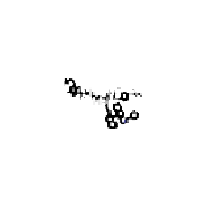 C=CCOc1ccc(C[C@H](NC(=O)[C@@H](CCCNC(=N)NS(=O)(=O)c2c(C)c(C)c3c(c2C)CCC(C)(C)O3)NC(=O)COc2ccc3ccccc3c2-c2c(OC/C=C/c3ccccc3)ccc3ccccc23)C(=O)OC)cc1